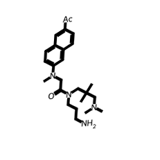 CC(=O)c1ccc2cc(N(C)CC(=O)N(CCCN)CC(C)(C)CN(C)C)ccc2c1